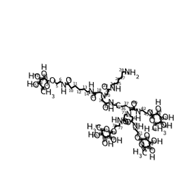 C[C@@H]1O[C@@H](OCCNC(=O)CCCCCNC(=O)CN(CC(=O)NCCCCCN)CC(=O)NCCCC[C@@H](C(=O)NCCO[C@@H]2O[C@@H](C)[C@@H](O)[C@@H](O)[C@@H]2O)N(CC(=O)NCCO[C@@H]2O[C@@H](C)[C@@H](O)[C@@H](O)[C@@H]2O)CC(=O)NCCO[C@@H]2O[C@@H](C)[C@@H](O)[C@@H](O)[C@@H]2O)[C@@H](O)[C@H](O)[C@@H]1O